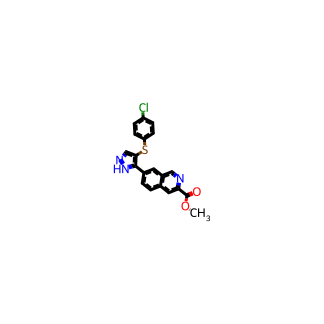 COC(=O)c1cc2ccc(-c3[nH]ncc3Sc3ccc(Cl)cc3)cc2cn1